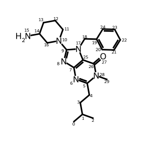 CC(C)CCc1nc2nc(N3CCCC(N)C3)n(Cc3ccccc3)c2c(=O)n1C